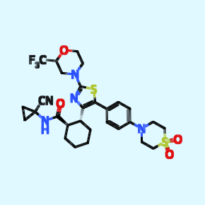 N#CC1(NC(=O)[C@@H]2CCCC[C@H]2c2nc(N3CCOC(C(F)(F)F)C3)sc2-c2ccc(N3CCS(=O)(=O)CC3)cc2)CC1